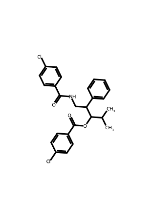 CC(C)C(OC(=O)c1ccc(Cl)cc1)C(CNC(=O)c1ccc(Cl)cc1)c1ccccc1